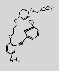 Nc1ccc(OCCCOc2ccc(OCC(=O)O)cc2)c(C#Cc2cccc(Cl)c2)c1